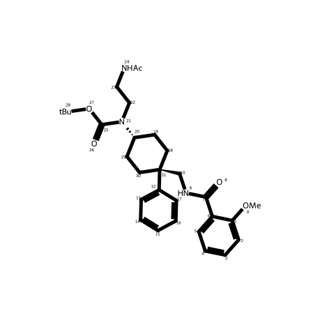 COc1ccccc1C(=O)NC[C@]1(c2ccccc2)CC[C@@H](N(CCNC(C)=O)C(=O)OC(C)(C)C)CC1